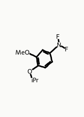 COc1cc(N(F)F)ccc1OC(C)C